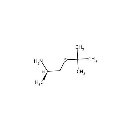 C[C@@H](N)CSC(C)(C)C